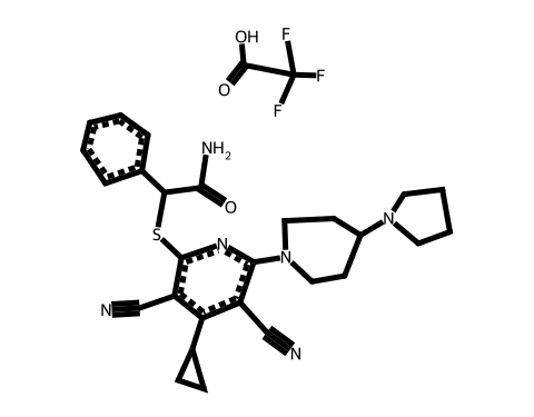 N#Cc1c(SC(C(N)=O)c2ccccc2)nc(N2CCC(N3CCCC3)CC2)c(C#N)c1C1CC1.O=C(O)C(F)(F)F